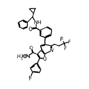 CNC(=O)c1c(-c2ccc(F)cc2)oc2nc(CCC(F)(F)F)c(-c3cccc(C(=O)NC(c4ccccc4)C4CC4)c3)cc12